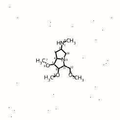 CNC1CC2C(OC)C(OC)C(COC)N2C1